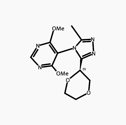 COc1ncnc(OC)c1-n1c(C)nnc1[C@H]1COCCO1